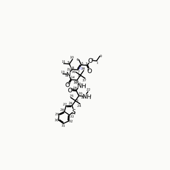 CCOC(=O)/C(C)=C/[C@H](C(C)C)N(C)C(=O)[C@@H](NC(=O)C(NC)C(C)(C)c1cc2ccccc2s1)C(C)(C)C